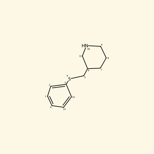 c1ccc(SCC2CCCNC2)cc1